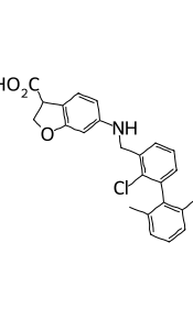 Cc1cccc(C)c1-c1cccc(CNc2ccc3c(c2)OCC3C(=O)O)c1Cl